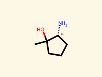 CC1(O)CCC[C@H]1N